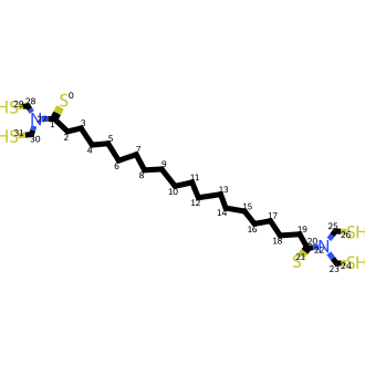 S=C(CCCCCCCCCCCCCCCCCCC(=S)N(CS)CS)N(CS)CS